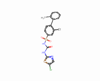 CCc1cc(S(=O)(=O)NC(=O)Nc2ncc(Br)s2)ccc1-c1ccccc1C